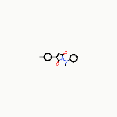 Cc1ccc(C2=CC(=O)N(N(C)c3ccccc3)C2=O)cc1